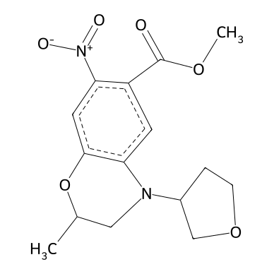 COC(=O)c1cc2c(cc1[N+](=O)[O-])OC(C)CN2C1CCOC1